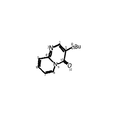 CCCCc1cnc2ccccn2c1=O